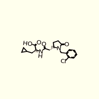 O=C(C[C@@H]1CCC(=O)N1Cc1ccccc1Cl)N[C@@H](CC1CC1)C(=O)O